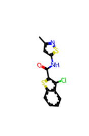 Cc1cc(NC(=O)c2sc3ccccc3c2Cl)sn1